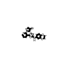 Brc1cnn(-c2ncccc2-c2nnc(Nc3ccc4c(c3)OCCO4)o2)c1